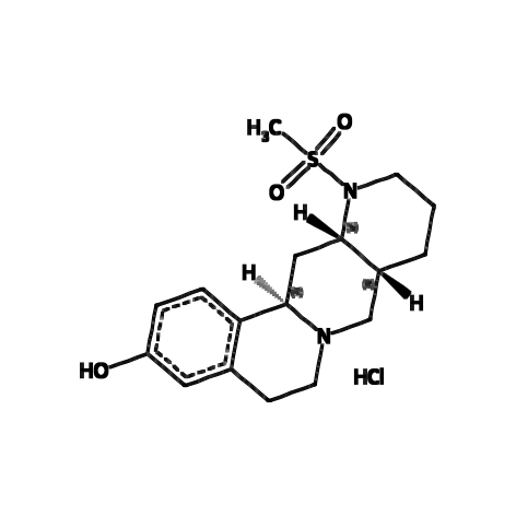 CS(=O)(=O)N1CCC[C@@H]2CN3CCc4cc(O)ccc4[C@H]3C[C@@H]21.Cl